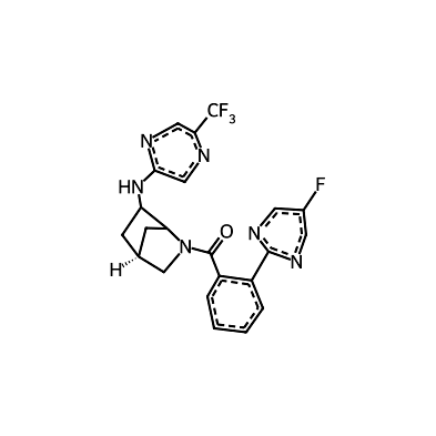 O=C(c1ccccc1-c1ncc(F)cn1)N1C[C@H]2CC(Nc3cnc(C(F)(F)F)cn3)C1C2